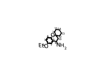 CCOc1ccc2c(c1)C(N)CC1(CCCCC1)O2